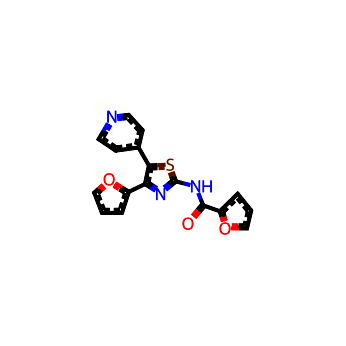 O=C(Nc1nc(-c2ccco2)c(-c2ccncc2)s1)c1ccco1